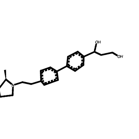 C[C@@H]1CCCN1CCc1ccc(-c2ccc(C(O)CCO)cc2)cc1